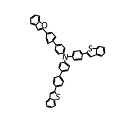 c1ccc2oc(-c3ccc(-c4ccc(N(c5ccc(-c6ccc(-c7cc8ccccc8s7)cc6)cc5)c5ccc(-c6cc7ccccc7s6)cc5)cc4)cc3)cc2c1